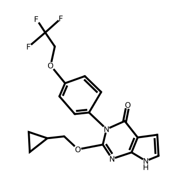 O=c1c2cc[nH]c2nc(OCC2CC2)n1-c1ccc(OCC(F)(F)F)cc1